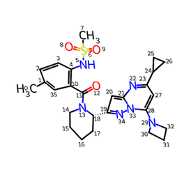 Cc1ccc(NS(C)(=O)=O)c(C(=O)N2CCCC[C@H]2c2cc3nc(C4CC4)cc(N4CCC4)n3n2)c1